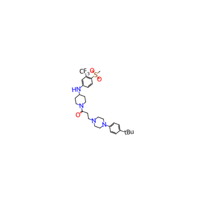 CC(C)(C)c1ccc(N2CCN(CCC(=O)N3CCC(Nc4ccc(S(C)(=O)=O)c(C(F)(F)F)c4)CC3)CC2)cc1